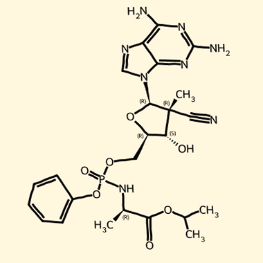 CC(C)OC(=O)[C@@H](C)NP(=O)(OC[C@H]1O[C@@H](n2cnc3c(N)nc(N)nc32)[C@](C)(C#N)[C@@H]1O)Oc1ccccc1